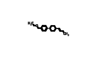 CCC=C[C@H]1CC[C@H](c2ccc(COCC)cc2)CC1